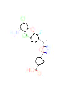 Nc1cc(Cl)cc(Oc2c(Cl)ccc(Cc3nnc(-c4ccc(C(=O)O)cc4)o3)c2F)c1